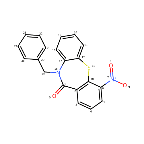 O=C1c2cccc([N+](=O)[O-])c2Sc2ccccc2N1Cc1ccccc1